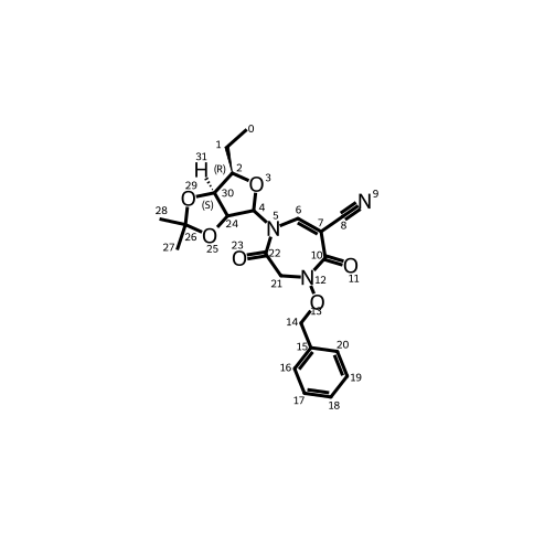 CC[C@H]1OC(N2C=C(C#N)C(=O)N(OCc3ccccc3)CC2=O)C2OC(C)(C)O[C@H]21